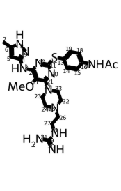 COc1c(Nc2cc(C)[nH]n2)nc(Sc2ccc(NC(C)=O)cc2)nc1N1CCN(CCNC(=N)N)CC1